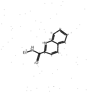 CCNC(=O)c1ccc2ccccc2n1